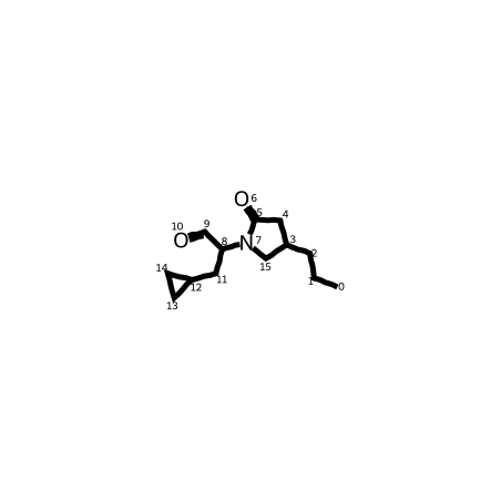 CCCC1CC(=O)N(C(C=O)CC2CC2)C1